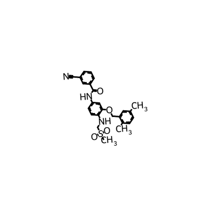 Cc1ccc(C)c(COc2cc(NC(=O)c3cccc(C#N)c3)ccc2NCS(C)(=O)=O)c1